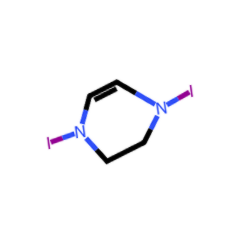 IN1C=CN(I)CC1